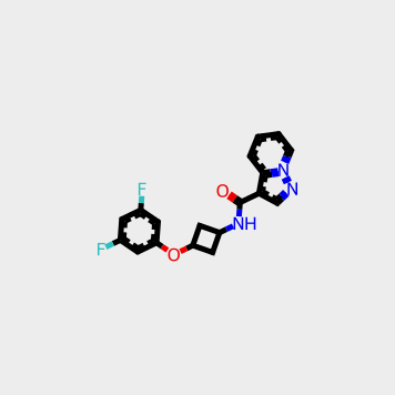 O=C(NC1CC(Oc2cc(F)cc(F)c2)C1)c1cnn2ccccc12